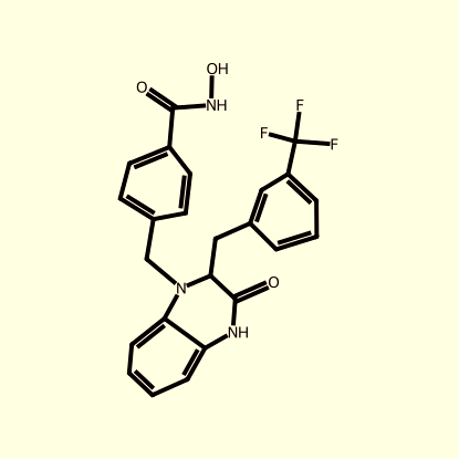 O=C(NO)c1ccc(CN2c3ccccc3NC(=O)C2Cc2cccc(C(F)(F)F)c2)cc1